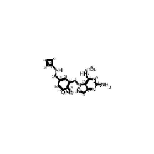 CCCCNc1nc(N)nc2cnn(Cc3cc(CNC45CC(C4)C5)ccc3OC)c12